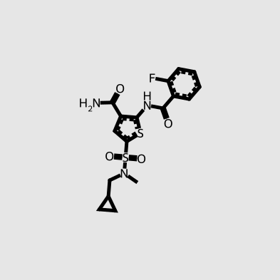 CN(CC1CC1)S(=O)(=O)c1cc(C(N)=O)c(NC(=O)c2ccccc2F)s1